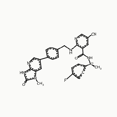 C[C@H](NC(=O)c1cc(C#N)cnc1NCc1ccc(-c2cnc3[nH]c(=O)n(C)c3c2)cc1)c1ccc(F)cc1